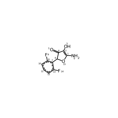 NC1=C(O)C(=O)C(c2c(F)cccc2F)O1